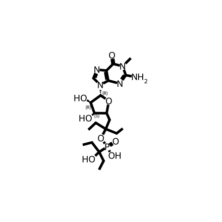 CCC(CC)(CC1O[C@@H](n2cnc3c(=O)n(C)c(N)nc32)[C@H](O)[C@@H]1O)OP(=O)(O)C(O)(CC)CC